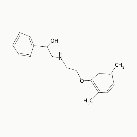 Cc1ccc(C)c(OCCNCC(O)c2ccccc2)c1